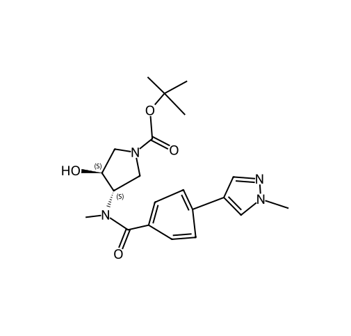 CN(C(=O)c1ccc(-c2cnn(C)c2)cc1)[C@H]1CN(C(=O)OC(C)(C)C)C[C@@H]1O